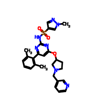 Cc1cccc(C)c1-c1cc(OC2CCN(Cc3cccnc3)C2)nc(NS(=O)(=O)c2cnn(C)c2)n1